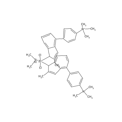 CC1=Cc2c(-c3ccc([N+](C)(C)C)cc3)cccc2[CH]1[Zr]([Cl])([Cl])([CH]1C(C)=Cc2c(-c3ccc([N+](C)(C)C)cc3)cccc21)[SiH](C)C